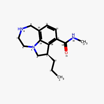 CCC[C@H]1CN2CCNCc3ccc(C(=O)NC)c1c32